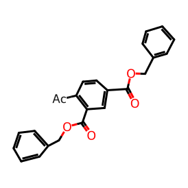 CC(=O)c1ccc(C(=O)OCc2ccccc2)cc1C(=O)OCc1ccccc1